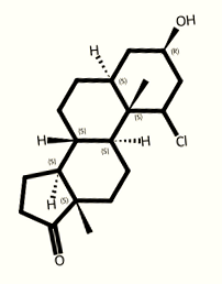 C[C@]12C(Cl)C[C@H](O)C[C@@H]1CC[C@@H]1[C@@H]2CC[C@]2(C)C(=O)CC[C@@H]12